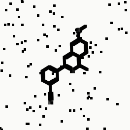 COc1ccc2c(C)nc(-c3cccc(C#N)c3)cc2c1